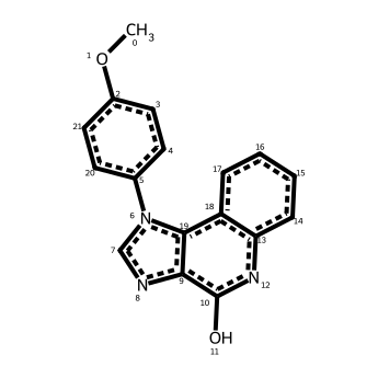 COc1ccc(-n2cnc3c(O)nc4ccccc4c32)cc1